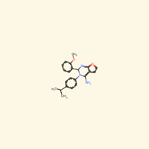 COc1ccccc1C1N=c2occc2=C(N)N1c1ccc(C(C)C)cc1